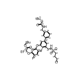 CC[C@@H](Oc1nc(Oc2cc(CNS(=O)(=O)CCCCl)cc(-c3cccc(CNC(=O)OC(C)(C)C)c3)c2)c(F)cc1F)C(=O)OC(C)(C)C